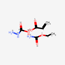 C=CC(=O)O.CCOC(N)=O.NNC(=O)O